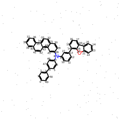 c1ccc(-c2ccc(N(c3cccc(-c4cccc5c4oc4ccccc45)c3)c3ccc4ccc5c6ccccc6ccc5c4c3)cc2)cc1